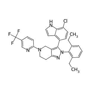 CCc1cccc(CC)c1-n1nc2c(c1-c1ccc(Cl)c3[nH]ccc13)CN(c1ccc(C(F)(F)F)cn1)CC2